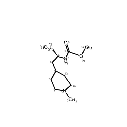 CN1CCC(C[C@H](NC(=O)OC(C)(C)C)C(=O)O)CC1